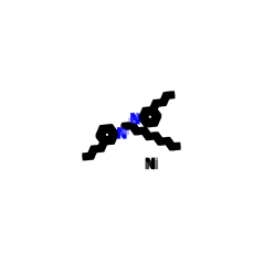 CCCCCCCCC(/C=N/c1cccc(CCCC)c1)=N\c1cccc(CCCC)c1.[Ni]